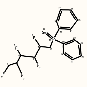 FCC(F)C(F)C(F)C(F)CP(=[Se])(c1ccccc1)c1ccccc1